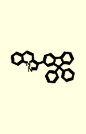 c1ccc(C2(c3ccccc3)c3ccccc3-c3ccc(-c4cnn5c4ccc4ccccc45)cc32)cc1